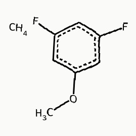 C.COc1cc(F)cc(F)c1